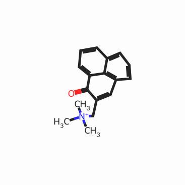 C[N+](C)(C)CC1=Cc2cccc3cccc(c23)C1=O